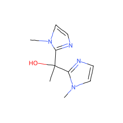 Cn1ccnc1C(C)(O)c1nccn1C